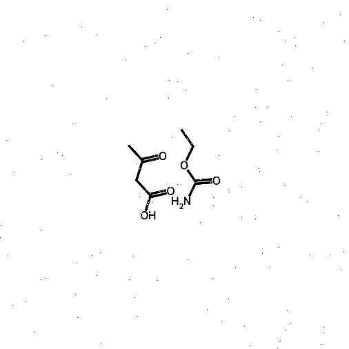 CC(=O)CC(=O)O.CCOC(N)=O